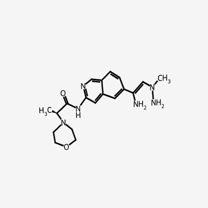 C[C@@H](C(=O)Nc1cc2cc(/C(N)=C/N(C)N)ccc2cn1)N1CCOCC1